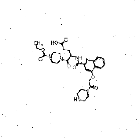 CCOC(=O)N1CCN(C(=O)C(CCC(=O)O)NC(=O)c2cc(OCC(=O)N3CCNCC3)c3ccccc3n2)CC1